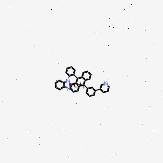 Cc1nc2ccccc2n1-c1ccccc1-c1c2ccccc2c(-c2cccc(-c3cccnc3)c2)c2ccccc12